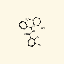 CN1CCCC[C@H]1C(NC(=O)c1cccc(Cl)c1Cl)c1ccccc1.Cl